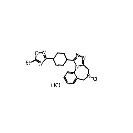 CCc1nc(C2CCC(c3nnc4n3-c3ccccc3CN(Cl)C4)CC2)no1.Cl